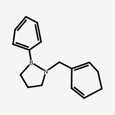 C1=CC(CN2CCCB2c2ccccc2)=CCC1